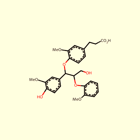 COc1cc(C(Oc2ccc(CCC(=O)O)cc2OC)C(CO)Oc2ccccc2OC)ccc1O